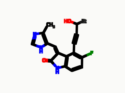 CCC(O)C#Cc1c(F)ccc2c1C(=Cc1[nH]cnc1C)C(=O)N2